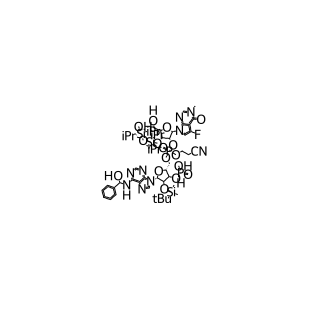 CC(C)[Si](O)(O[Si](O[C@H]1[C@@H](OP(=O)(OCCC#N)OC[C@H]2O[C@@H](n3cnc4c(NC(O)c5ccccc5)ncnc43)[C@H](O[Si](C)(C)C(C)(C)C)[C@@H]2O[PH](=O)O)[C@H](n2cc(F)c3c(=O)n(C)cnc32)O[C@@H]1CO)(C(C)C)C(C)C)C(C)C